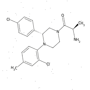 Cc1ccc(N2CCN(C(=O)[C@@H](C)N)C[C@H]2c2ccc(Cl)cc2)c(Cl)c1